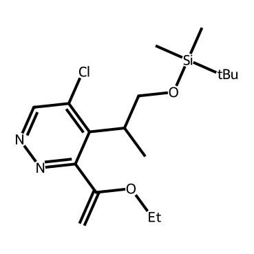 C=C(OCC)c1nncc(Cl)c1C(C)CO[Si](C)(C)C(C)(C)C